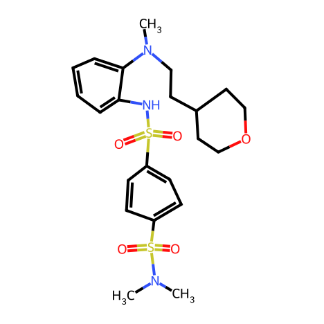 CN(CCC1CCOCC1)c1ccccc1NS(=O)(=O)c1ccc(S(=O)(=O)N(C)C)cc1